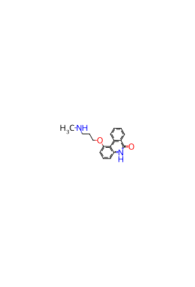 CNCCCOc1cccc2[nH]c(=O)c3ccccc3c12